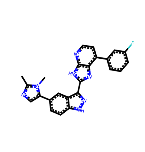 Cc1ncc(-c2ccc3[nH]nc(-c4nc5c(-c6cccc(F)c6)ccnc5[nH]4)c3c2)n1C